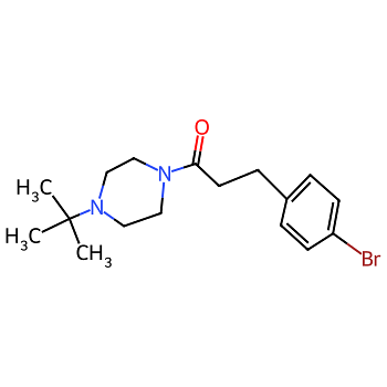 CC(C)(C)N1CCN(C(=O)CCc2ccc(Br)cc2)CC1